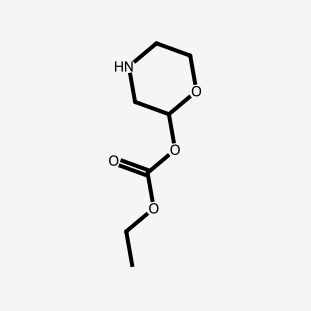 CCOC(=O)OC1CNCCO1